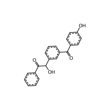 O=C(c1ccc(O)cc1)c1cccc(C(O)C(=O)c2ccccc2)c1